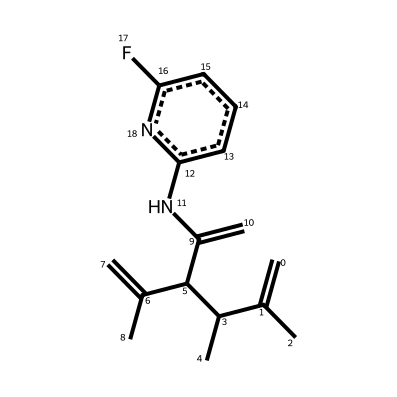 C=C(C)C(C)C(C(=C)C)C(=C)Nc1cccc(F)n1